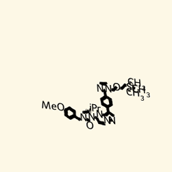 COc1ccc(CN2C[C@H](C(C)C)N(c3ccn4ncc(-c5ccc(-c6nccn6COCC[Si](C)(C)C)cc5)c4n3)C2=O)cc1